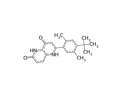 Cc1cc(C(C)(C)C)c(C)cc1-c1cc(=O)c2[nH]c(=O)ccc2[nH]1